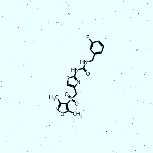 Cc1noc(C)c1S(=O)(=O)Cc1csc(NC(=O)NCc2cccc(F)c2)n1